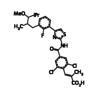 COC(C(C)C)C(C)Cc1cccc(-c2csc(NC(=O)c3cc(Cl)c(/C=C(\C)C(=O)O)c(Cl)c3)n2)c1F